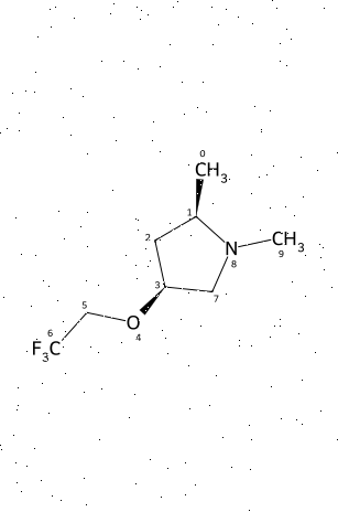 C[C@@H]1C[C@H](OCC(F)(F)F)CN1C